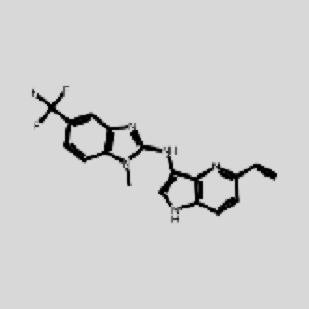 C=Cc1ccc2[nH]cc(Nc3nc4cc(C(F)(F)F)ccc4n3C)c2n1